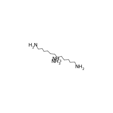 N.N.NCCCCCCCCCCCCN